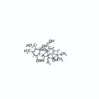 COc1cc(C)c(C(=O)O)c(O)c1[C@H]1C[C@]2(C)C3C(C=C(CO)[C@]12O)CC(C)(C)[C@@H]3O